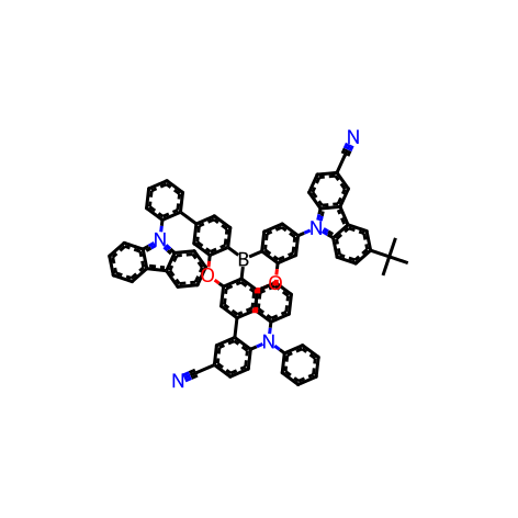 CC(C)(C)c1ccc2c(c1)c1cc(C#N)ccc1n2-c1ccc2c(c1)Oc1cc(-c3cc(C#N)ccc3N(c3ccccc3)c3ccccc3)cc3c1B2c1ccc(-c2ccccc2-n2c4ccccc4c4ccccc42)cc1O3